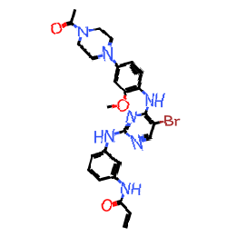 C=CC(=O)Nc1cccc(Nc2ncc(Br)c(Nc3ccc(N4CCN(C(C)=O)CC4)cc3OC)n2)c1